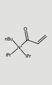 C=CC(=O)[N+](CCCC)(C(C)C)C(C)C